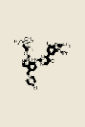 CCN1CCN(Cc2ccc(Nc3ncc(Cl)c(-c4cc(F)c5nc(C)n(C(C)C)c5c4)n3)c3c2cnn3COCC[Si](C)(C)C)CC1